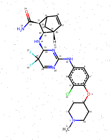 CN1CCC(Oc2ccc(NC3=N[C@H](N[C@@H]4[C@H]5C=CC(C5)[C@@H]4C(N)=O)C(F)(F)C=N3)cc2Cl)CC1